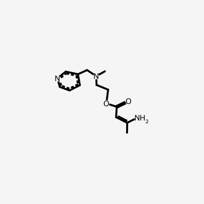 CC(N)=CC(=O)OCCN(C)Cc1cccnc1